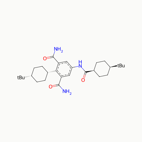 CC(C)(C)[C@H]1CC[C@@H](C(=O)Nc2cc(C(N)=O)c([C@H]3CC[C@@H](C(C)(C)C)CC3)c(C(N)=O)c2)CC1